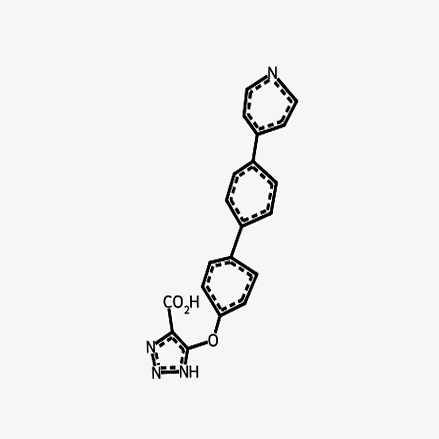 O=C(O)c1nn[nH]c1Oc1ccc(-c2ccc(-c3ccncc3)cc2)cc1